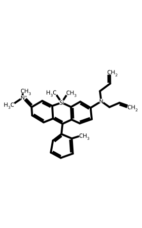 C=CCN(CC=C)c1ccc2c(c1)[Si](C)(C)C1=CC(=[N+](C)C)C=CC1=C2c1ccccc1C